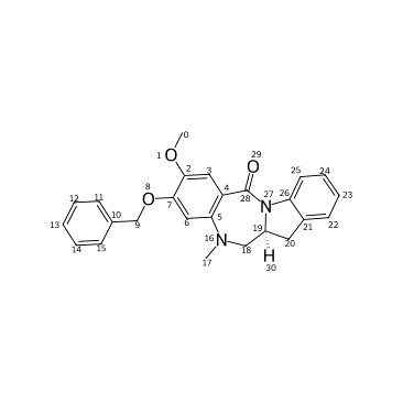 COc1cc2c(cc1OCc1ccccc1)N(C)C[C@@H]1Cc3ccccc3N1C2=O